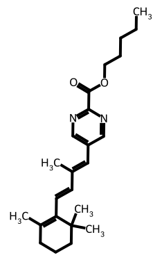 CCCCCOC(=O)c1ncc(/C=C(\C)C=CC2=C(C)CCCC2(C)C)cn1